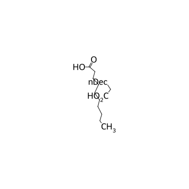 CCCCCCCCCC(=O)O.CCCCCCCCCCCC(=O)O